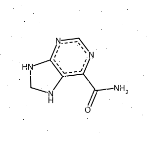 NC(=O)c1ncnc2c1NCN2